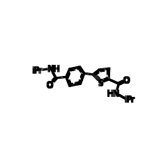 CC(C)NC(=O)c1ccc(-c2ccc(C(=O)NC(C)C)s2)cc1